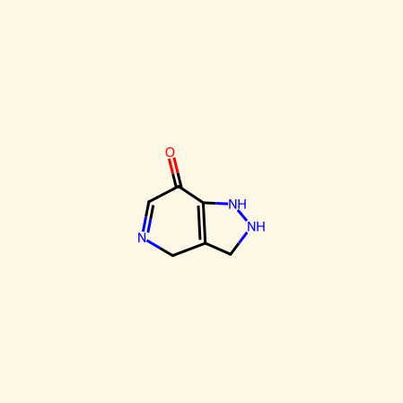 O=C1C=NCC2=C1NNC2